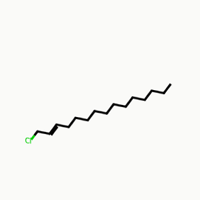 CCCCCCCCCCCCC=CCCl